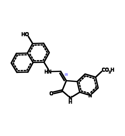 O=C1Nc2ncc(C(=O)O)cc2/C1=C/Nc1ccc(O)c2ccccc12